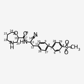 CS(=O)(=O)c1ccc(-c2ccc(CC(C#N)NC(=O)C3CNCCCO3)cc2)cc1